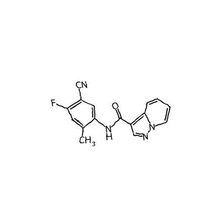 Cc1cc(F)c(C#N)cc1NC(=O)c1cnn2ccccc12